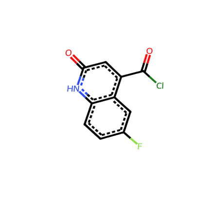 O=C(Cl)c1cc(=O)[nH]c2ccc(F)cc12